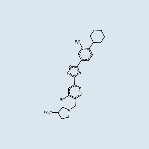 O=C(O)C1CCN(Cc2ccc(-c3noc(-c4ccc(C5CCCCC5)c(C(F)(F)F)c4)n3)cc2Br)C1